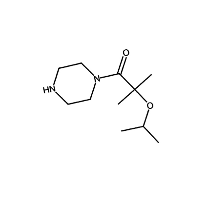 CC(C)OC(C)(C)C(=O)N1CCNCC1